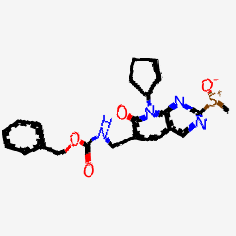 C[S+]([O-])c1ncc2cc(CNC(=O)OCc3ccccc3)c(=O)n(C3CCCC3)c2n1